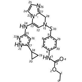 CCOC(=O)Nc1ccc(SN2C=C(Nc3cc(C4CC4)[nH]n3)[N+]3C=CN=C3C2)cc1